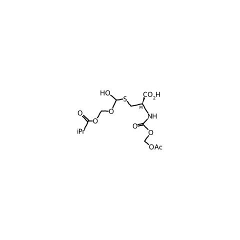 CC(=O)OCOC(=O)N[C@@H](CSC(O)OCOC(=O)C(C)C)C(=O)O